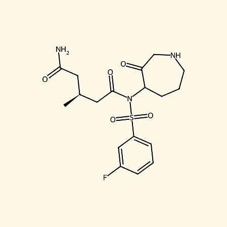 C[C@@H](CC(N)=O)CC(=O)N(C1CCCNCC1=O)S(=O)(=O)c1cccc(F)c1